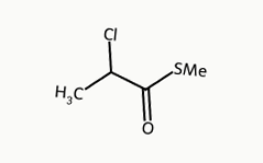 CSC(=O)C(C)Cl